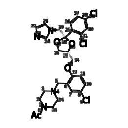 CC(=O)N1CCN(Cc2cc(Cl)ccc2OC[C@@H]2CO[C@@](Cn3ccnc3)(c3ccc(Cl)cc3Cl)O2)CC1